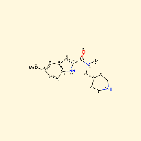 CCN(CC1CCNCC1)C(=O)c1cc2cc(OC)ccc2[nH]1